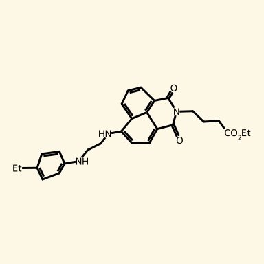 CCOC(=O)CCCN1C(=O)c2cccc3c(NCCNc4ccc(CC)cc4)ccc(c23)C1=O